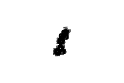 CCC(CC(C)c1ccc(OC(=O)OC(C)(C)C)cc1)c1ccccc1